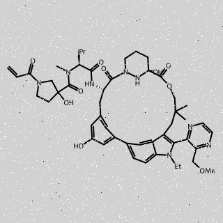 C=CC(=O)N1CCC(O)(C(=O)N(C)[C@H](C(=O)N[C@H]2Cc3cc(O)cc(c3)-c3ccc4c(c3)c(c(-c3nccnc3COC)n4CC)CC(C)(C)COC(=O)[C@@]3(O)CCCN(N3)C2=O)C(C)C)C1